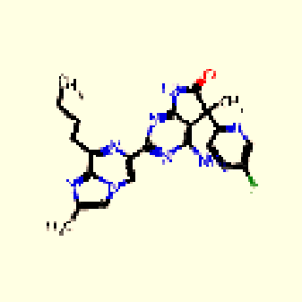 CCCCc1nc(-c2nc(N)c3c(n2)NC(=O)C3(C)c2ccc(F)cn2)cn2cc(C)nc12